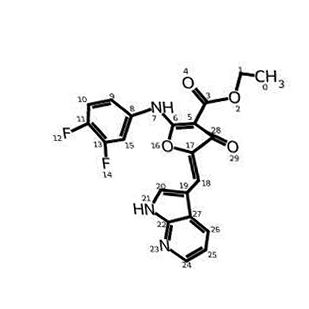 CCOC(=O)C1=C(Nc2ccc(F)c(F)c2)OC(=Cc2c[nH]c3ncccc23)C1=O